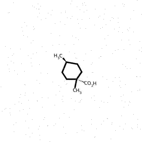 C[C@H]1CC[C@](C)(C(=O)O)CC1